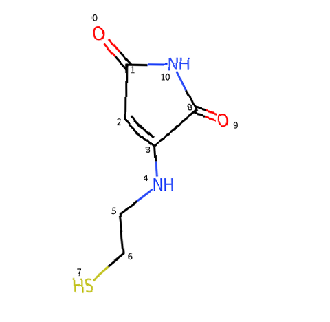 O=C1C=C(NCCS)C(=O)N1